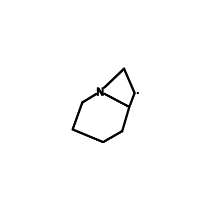 [CH]1CN2CCCCC12